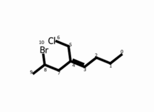 CCCC=C(CCl)CC(C)Br